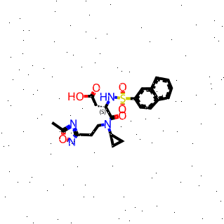 Cc1nc(CCN(C(=O)[C@H](CC(=O)O)NS(=O)(=O)c2ccc3ccccc3c2)C2CC2)no1